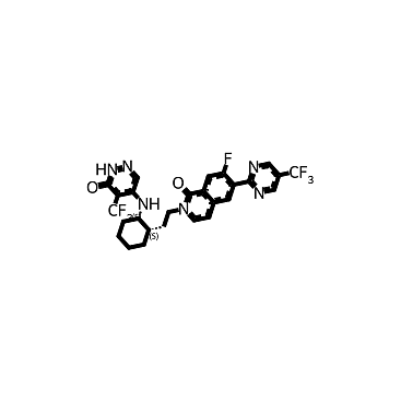 O=c1[nH]ncc(N[C@H]2CCCC[C@H]2CCn2ccc3cc(-c4ncc(C(F)(F)F)cn4)c(F)cc3c2=O)c1C(F)(F)F